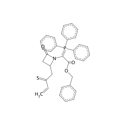 C=CC(=S)CC1CC(=O)N1C(C(=O)OCc1ccccc1)=P(c1ccccc1)(c1ccccc1)c1ccccc1